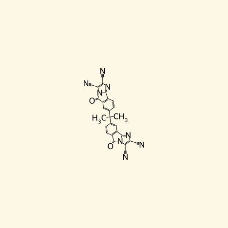 CC(C)(c1ccc2c(c1)C(=O)n1c-2nc(C#N)c1C#N)c1ccc2c(c1)-c1nc(C#N)c(C#N)n1C2=O